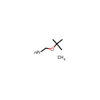 C.CCCCOC(C)(C)C